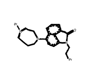 CC(C)CCN1C(=O)c2cccc3c(N4CCCN(C(C)C)CC4)ccc1c23